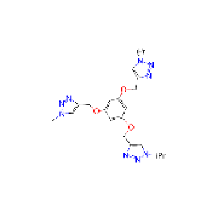 CC(C)n1cc(COc2cc(OCc3cn(C)nn3)cc(OCc3cn(C(C)C)nn3)c2)nn1